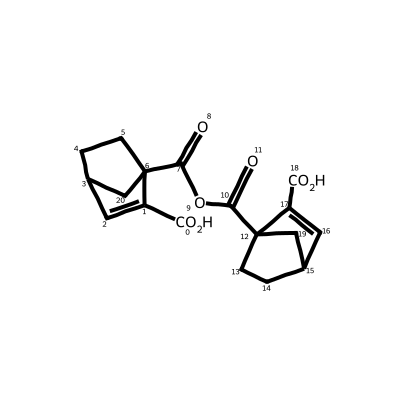 O=C(O)C1=CC2CCC1(C(=O)OC(=O)C13CCC(C=C1C(=O)O)C3)C2